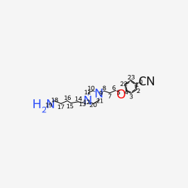 N#Cc1ccc(OCCCN2CCN(CCCCCCN)CC2)cc1